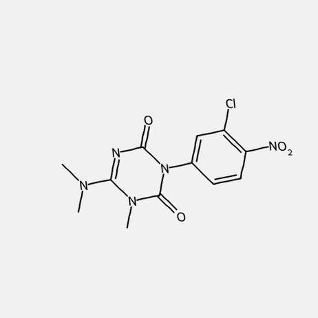 CN(C)c1nc(=O)n(-c2ccc([N+](=O)[O-])c(Cl)c2)c(=O)n1C